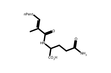 CCCCC/C=C(\C)C(=O)NC(CCC(N)=O)C(=O)O